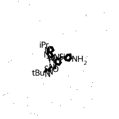 CC(C)c1ccc2c(Nc3cc(C(=O)Nc4nnc(C(C)(C)C)s4)ccc3Sc3ccc(N)cc3)ncnc2n1